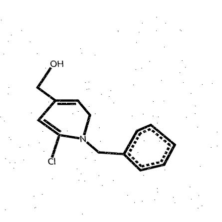 OCC1=CCN(Cc2ccccc2)C(Cl)=C1